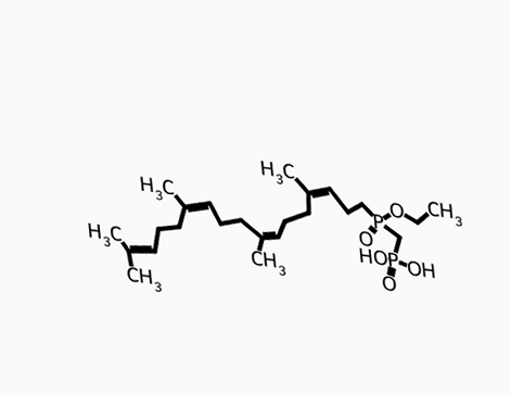 CCOP(=O)(CCC=C(C)CCC=C(C)CCC=C(C)CCC=C(C)C)CP(=O)(O)O